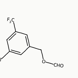 O=COCc1cc(Cl)cc(C(F)(F)F)c1